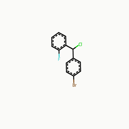 Fc1ccccc1C(Cl)c1ccc(Br)cc1